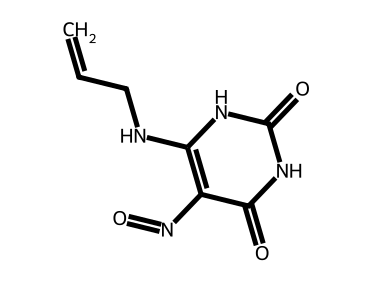 C=CCNc1[nH]c(=O)[nH]c(=O)c1N=O